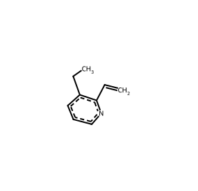 C=Cc1ncccc1CC